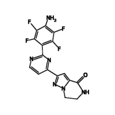 Nc1c(F)c(F)c(-c2nccc(-c3cc4n(n3)CCNC4=O)n2)c(F)c1F